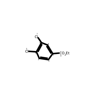 CCOC(=O)c1ccc(Cl)c(Cl)c1